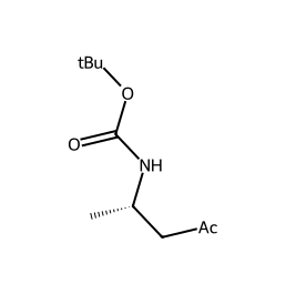 CC(=O)C[C@H](C)NC(=O)OC(C)(C)C